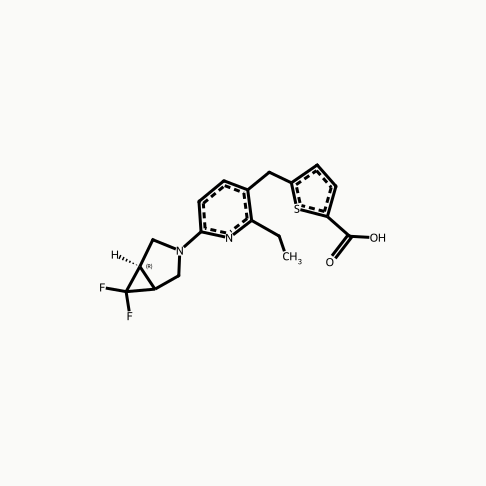 CCc1nc(N2CC3[C@H](C2)C3(F)F)ccc1Cc1ccc(C(=O)O)s1